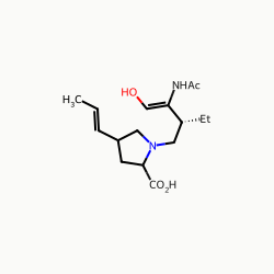 CC=CC1CC(C(=O)O)N(C[C@@H](CC)C(=CO)NC(C)=O)C1